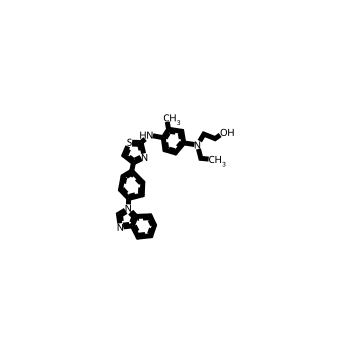 CCN(CCO)c1ccc(Nc2nc(-c3ccc(-n4cnc5ccccc54)cc3)cs2)c(C)c1